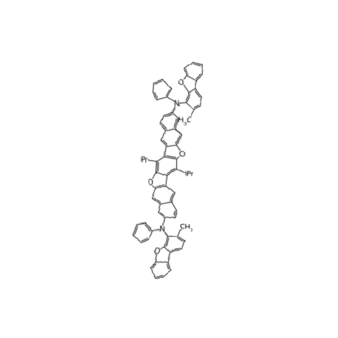 Cc1ccc2c(oc3ccccc32)c1N(c1ccccc1)c1ccc2cc3c(cc2c1)oc1c(C(C)C)c2c(oc4cc5cc(N(c6ccccc6)c6c(C)ccc7c6oc6ccccc67)ccc5cc42)c(C(C)C)c13